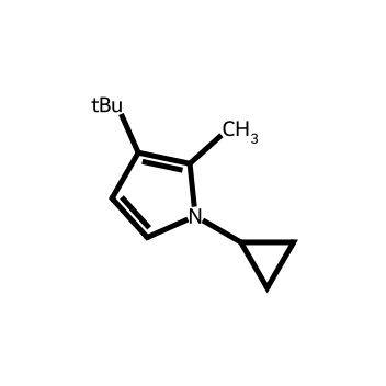 Cc1c(C(C)(C)C)ccn1C1CC1